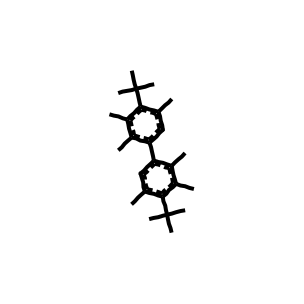 Cc1cc(-c2cc(C)c(C(C)(C)C)c(C)c2C)c(C)c(C)c1C(C)(C)C